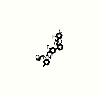 Cc1ccc2nc(Cc3c(F)cc(-c4cccc5c4OC(C)(c4ccc(Cl)cc4F)O5)cc3F)n(CC3CCO3)c2c1